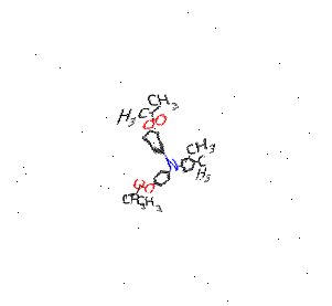 C/C=C(\C)C(=O)Oc1ccc(N(c2ccc(OC(=O)/C(C)=C/C)cc2)c2ccc(C)c(C)c2)cc1